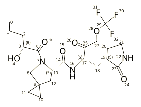 CCC[C@@H](O)C(=O)N1CC2(CC2)C[C@H]1C(=O)N[C@@H](C[C@@H]1CCNC1=O)C(=O)COC(F)(F)F